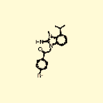 CC(C)c1cccc2c1n(C)c(=N)n2CC(=O)c1ccc(Br)cc1